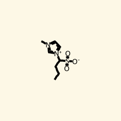 CCCC([n+]1ccn(C)c1)S(=O)(=O)[O-]